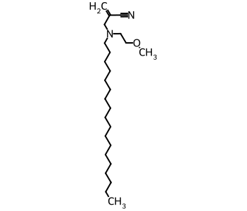 C=C(C#N)CN(CCCCCCCCCCCCCCCCCC)CCOC